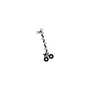 CC(C)(C)[Si](OCCOCCOCCOCCOC(=O)Cl)(c1ccccc1)c1ccccc1